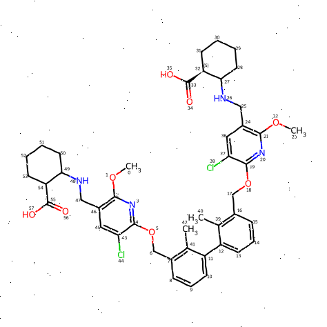 COc1nc(OCc2cccc(-c3cccc(COc4nc(OC)c(CNC5CCCC[C@@H]5C(=O)O)cc4Cl)c3C)c2C)c(Cl)cc1CNC1CCCCC1C(=O)O